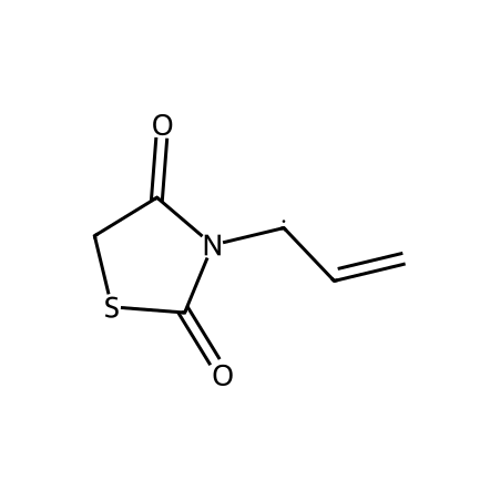 C=C[CH]N1C(=O)CSC1=O